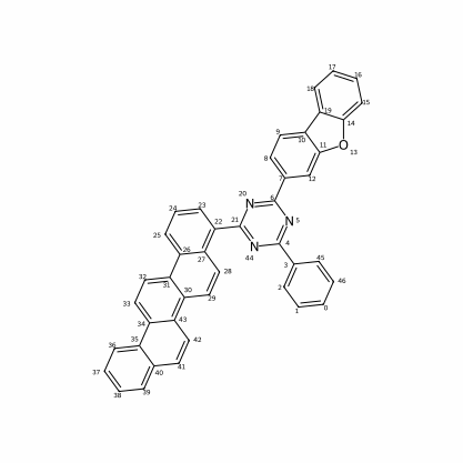 c1ccc(-c2nc(-c3ccc4c(c3)oc3ccccc34)nc(-c3cccc4c3ccc3c4ccc4c5ccccc5ccc43)n2)cc1